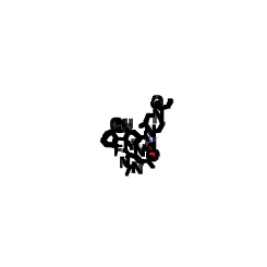 C=CC(=O)N1CCN(/C(=N/C)c2cc(Cl)c(-c3c(O)cccc3F)nc2N(C=O)c2c(C)nc(C)nc2C(C)C)C(C)C1